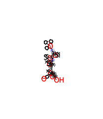 COc1ccc(CO[C@H]([C@@H](C)[C@@H](CC[C@H](C)C[C@@H](C)[C@@H](O[Si](C)(C)C(C)(C)C)[C@@H](C)/C=C\[C@H](C[C@H](O[Si](C)(C)C(C)(C)C)[C@@H](C)/C=C/COC(c2ccccc2)(c2ccccc2)c2ccccc2)O[Si](C)(C)C(C)(C)C)O[Si](C)(C)C(C)(C)C)[C@@H](C)CO)cc1